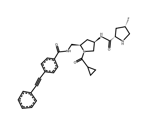 O=C(NC[C@H]1C[C@@H](NC(=O)[C@@H]2C[C@H](F)CN2)CN1C(=O)C1CC1)c1ccc(C#Cc2ccccc2)cc1